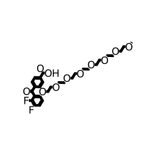 COCCOCCOCCOCCOCCOCCOCCOc1ccc(F)c(F)c1C(=O)c1ccc(C(=O)O)cc1